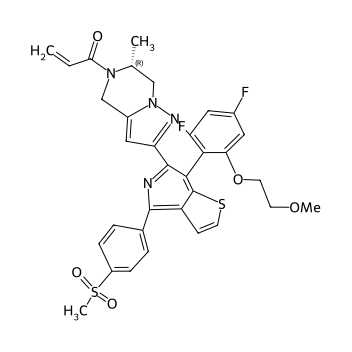 C=CC(=O)N1Cc2cc(-c3nc(-c4ccc(S(C)(=O)=O)cc4)c4ccsc4c3-c3c(F)cc(F)cc3OCCOC)nn2C[C@H]1C